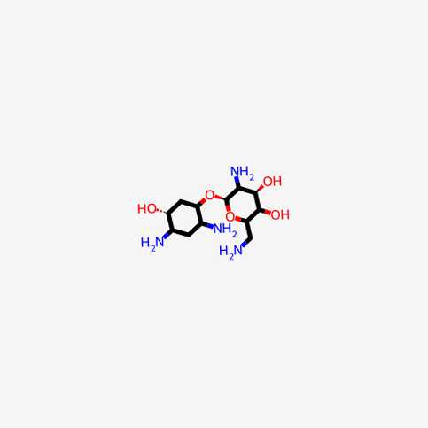 NCC1O[C@@H](OC2C[C@@H](O)C(N)CC2N)C(N)[C@@H](O)C1O